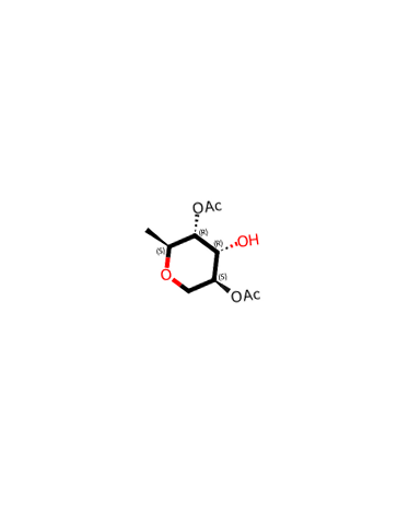 CC(=O)O[C@@H]1[C@H](O)[C@@H](OC(C)=O)CO[C@H]1C